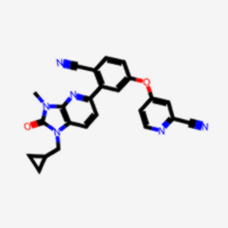 Cn1c(=O)n(CC2CC2)c2ccc(-c3cc(Oc4ccnc(C#N)c4)ccc3C#N)nc21